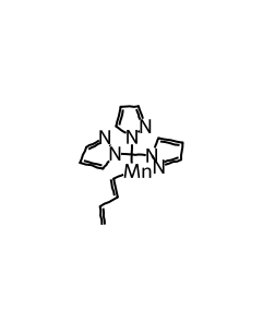 C=CC=[CH][Mn][C](n1cccn1)(n1cccn1)n1cccn1